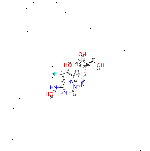 N#C[C@@]1(c2cc(F)c3c(NO)ncnn23)O[C@H](CO)[C@@H](O)[C@H]1O